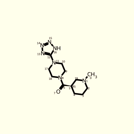 CN1CCC[C@@H](C(=O)N2CCN(c3nnn[nH]3)CC2)C1